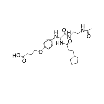 CC(=O)NCCNC(=O)C(NC(=O)CCC1CCCC1)Nc1ccc(OCCCC(=O)O)cc1